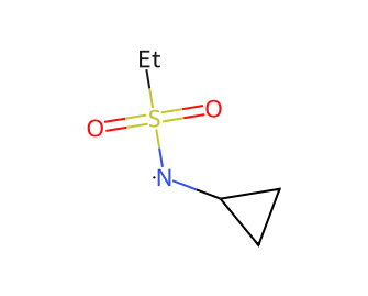 CCS(=O)(=O)[N]C1CC1